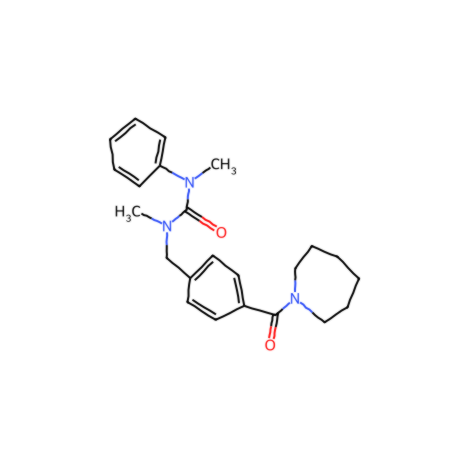 CN(Cc1ccc(C(=O)N2CCCCCC2)cc1)C(=O)N(C)c1ccccc1